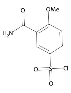 COc1ccc(S(=O)(=O)Cl)cc1C(N)=O